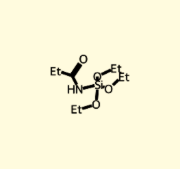 CCO[Si](NC(=O)CC)(OCC)OCC